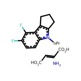 CCCn1c2c(c3c(F)c(F)ccc31)CCC2.N.O=C(O)C=CC(=O)O